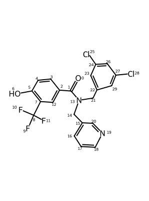 O=C(c1ccc(O)c(C(F)(F)F)c1)N(Cc1cccnc1)Cc1cc(Cl)cc(Cl)c1